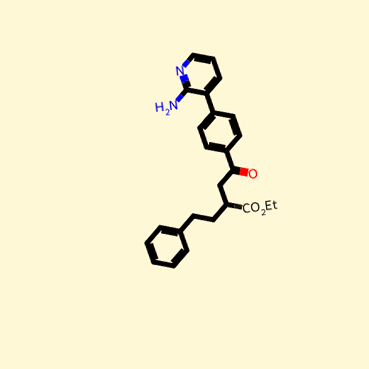 CCOC(=O)C(CCc1ccccc1)CC(=O)c1ccc(-c2cccnc2N)cc1